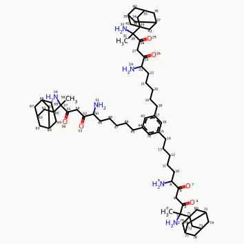 CC(N)(C(=O)CC(=O)C(N)CCCCCc1cc(CCCCCC(N)C(=O)CC(=O)C(C)(N)C23CC4CC(CC(C4)C2)C3)cc(CCCCCC(N)C(=O)CC(=O)C(C)(N)C23CC4CC(CC(C4)C2)C3)c1)C12CC3CC(CC(C3)C1)C2